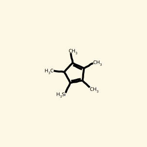 CC1=C(C)C(C)C([SiH3])=C1C